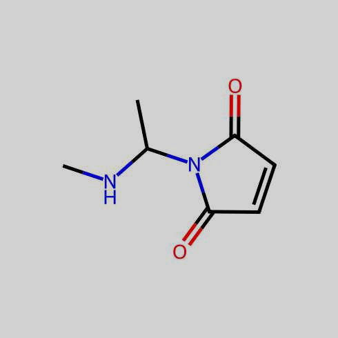 CNC(C)N1C(=O)C=CC1=O